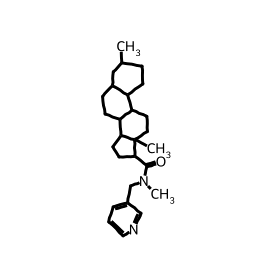 CC1CCC2C(CCC3C2CCC2(C)C(C(=O)N(C)Cc4cccnc4)CCC32)C1